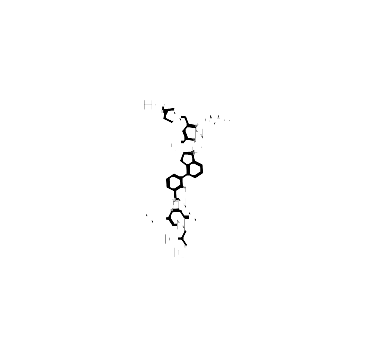 COc1nc(O[C@H]2CCc3c(-c4cccc(-c5nc6c(=N)n(CC(O)CO)cc(C#N)c6o5)c4Cl)cccc32)c(Cl)cc1CN1CC[C@@H](O)C1